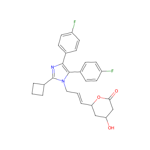 O=C1CC(O)CC(C=CCn2c(C3CCC3)nc(-c3ccc(F)cc3)c2-c2ccc(F)cc2)O1